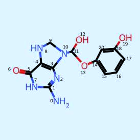 Nc1nc2c(c(=O)[nH]1)NCN2C(O)Oc1cccc(O)c1